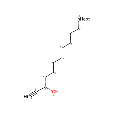 C#CC(O)CCCCCCCCCCCCCCC